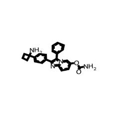 NC(=O)Oc1ccc2nc(-c3ccc(C4(N)CCC4)cc3)c(-c3ccccc3)n2c1